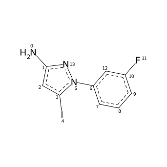 Nc1cc(I)n(-c2cccc(F)c2)n1